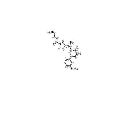 CCN(c1cc(-c2ccnc(NC)c2)c[nH]c1=O)[C@H]1CCN(C(=O)/C=C/CN)C1